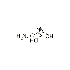 Cl.NC[C@H]1C[C@@H](c2nnc(CO)s2)C1